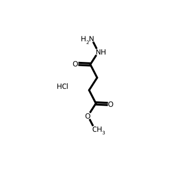 COC(=O)CCC(=O)NN.Cl